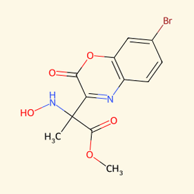 COC(=O)C(C)(NO)c1nc2ccc(Br)cc2oc1=O